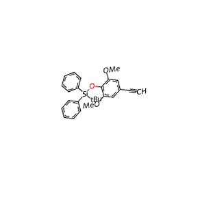 C#Cc1cc(OC)c(O[Si](c2ccccc2)(c2ccccc2)C(C)(C)C)c(OC)c1